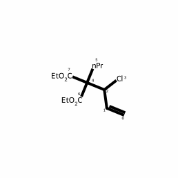 C=CC(Cl)C(CCC)(C(=O)OCC)C(=O)OCC